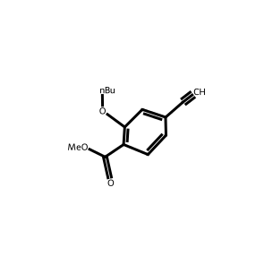 C#Cc1ccc(C(=O)OC)c(OCCCC)c1